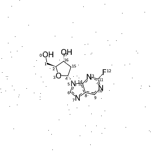 OC[C@@H]1O[C@@H](n2cnc3cnc(F)nc32)C[C@H]1O